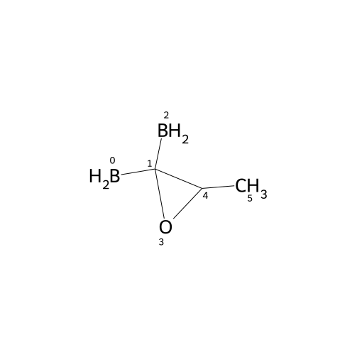 BC1(B)OC1C